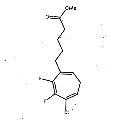 CCC1=CCC=C(CCCCC(=O)OC)C(F)=C1F